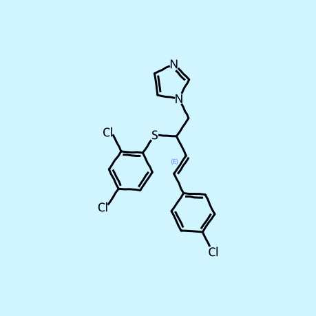 Clc1ccc(/C=C/C(Cn2ccnc2)Sc2ccc(Cl)cc2Cl)cc1